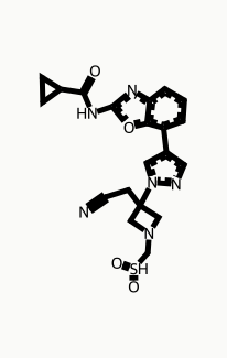 N#CCC1(n2cc(-c3cccc4nc(NC(=O)C5CC5)oc34)cn2)CN(C[SH](=O)=O)C1